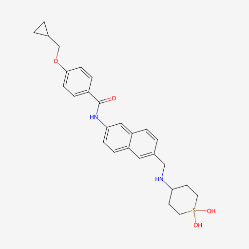 O=C(Nc1ccc2cc(CNC3CCS(O)(O)CC3)ccc2c1)c1ccc(OCC2CC2)cc1